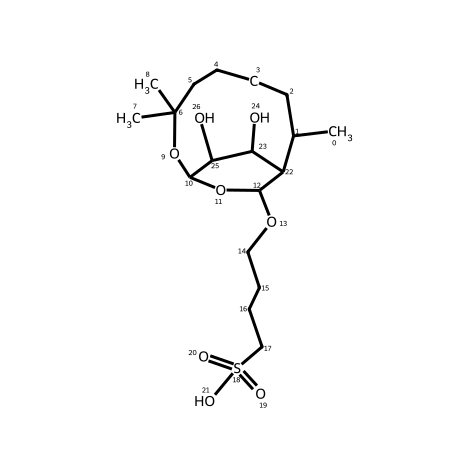 CC1CCCCC(C)(C)OC2OC(OCCCCS(=O)(=O)O)C1C(O)C2O